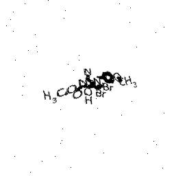 CCOC(=O)c1nc(C#N)c2c(c1O)c(Br)c(Br)n2Cc1ccc(OC)cc1